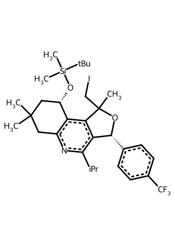 CC(C)c1nc2c(c3c1[C@@H](c1ccc(C(F)(F)F)cc1)OC3(C)CI)[C@@H](O[Si](C)(C)C(C)(C)C)CC(C)(C)C2